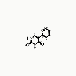 O=c1[nH]cc(-c2cccnn2)c(=O)[nH]1